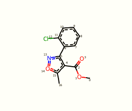 COC(=O)c1c(-c2ccccc2Cl)noc1C